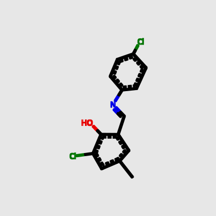 Cc1cc(Cl)c(O)c(/C=N/c2ccc(Cl)cc2)c1